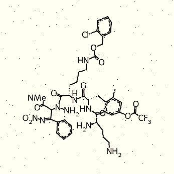 CNC(=O)[C@H](C(=N[N+](=O)[O-])c1ccccc1)N(N)C(=O)[C@H](CCCCNC(=O)OCc1ccccc1Cl)NC(=O)[C@H](Cc1c(C)cc(OC(=O)C(F)(F)F)cc1C)NC(=O)[C@H](N)CCCN